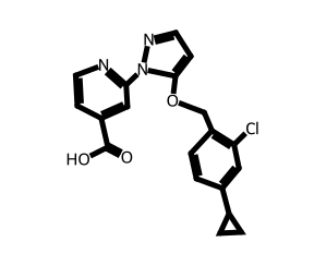 O=C(O)c1ccnc(-n2nccc2OCc2ccc(C3CC3)cc2Cl)c1